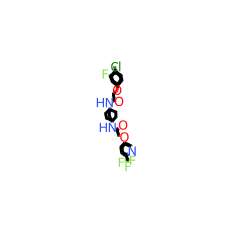 O=C(COc1ccc(C(F)(F)F)nc1)NC12CCC(NC(=O)COc3ccc(Cl)c(F)c3)(CC1)CC2